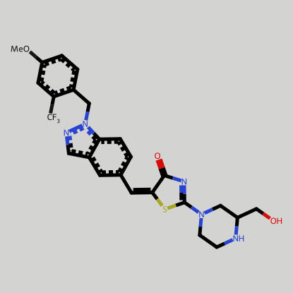 COc1ccc(Cn2ncc3cc(/C=C4/SC(N5CCNC(CO)C5)=NC4=O)ccc32)c(C(F)(F)F)c1